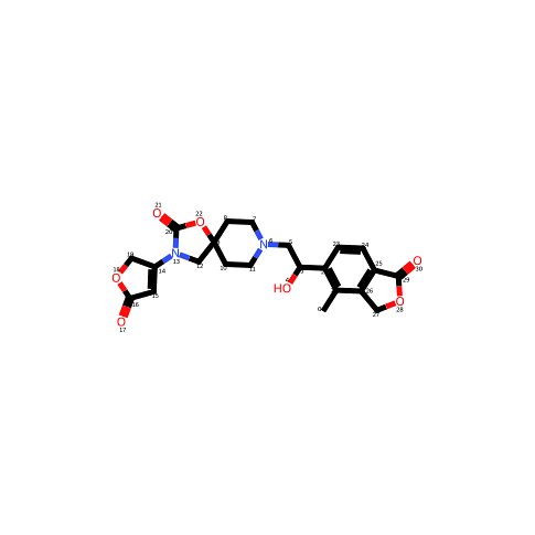 Cc1c(C(O)CN2CCC3(CC2)CN(C2=CC(=O)OC2)C(=O)O3)ccc2c1COC2=O